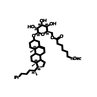 CCCCCCCCCCCCCCCC(=O)OC[C@H]1O[C@@H](OC2CC[C@@]3(C)C(=CCC4C3CC[C@@]3(C)C4CC[C@@H]3[C@H](C)CCCC(C)C)C2)[C@H](O)[C@@H](O)[C@H]1O